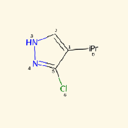 CC(C)c1c[nH]nc1Cl